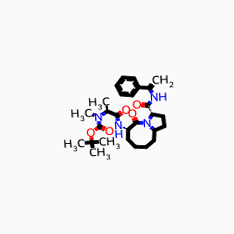 C=C(NC(=O)[C@@H]1CCC2CCCC[C@H](NC(=O)[C@H](C)N(C)C(=O)OC(C)(C)C)C(=O)N21)c1ccccc1